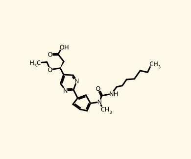 CCCCCCCNC(=O)N(C)c1cccc(-c2ncc([C@H](CC(=O)O)OCC)cn2)c1